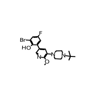 COc1ncc(-c2cc(F)cc(Br)c2O)cc1N1CCN(C(C)(C)C)CC1